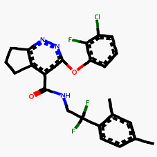 Cc1ccc(C(F)(F)CNC(=O)c2c(Oc3cccc(Cl)c3F)nnc3c2CCC3)c(C)c1